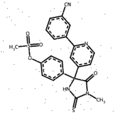 CN1C(=O)C(c2ccc(OS(C)(=O)=O)cc2)(c2ccnc(-c3cccc(C#N)c3)c2)NC1=S